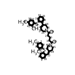 Cc1ccc(Sc2ccccc2C=C2CCN(C(=O)CCCC(=O)N3CCC=C(c4ccccc4Sc4ccc(C)cc4C)CC3)CC2)c(C)c1